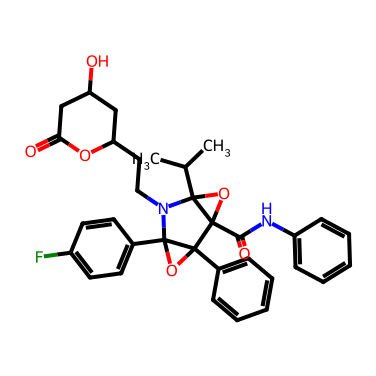 CC(C)C12OC1(C(=O)Nc1ccccc1)C1(c3ccccc3)OC1(c1ccc(F)cc1)N2CCC1CC(O)CC(=O)O1